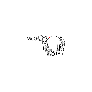 COc1ccc2nc3c(nc2c1)O[C@H]1CN(C(=O)[C@H](C(C)(C)C)NC(=O)O[C@@H]2CCC[C@H]2CCCCC32CC2)[C@H](C(C)=O)[C@@H]1C